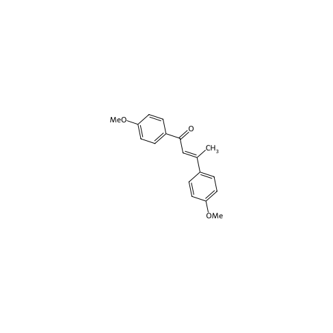 COc1ccc(C(=O)/C=C(\C)c2ccc(OC)cc2)cc1